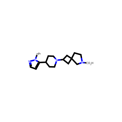 CCCn1nccc1C1CCN(C2CC3(CCN(C(=O)O)C3)C2)CC1